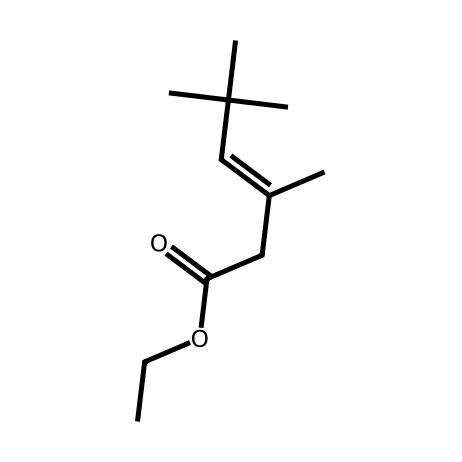 CCOC(=O)CC(C)=CC(C)(C)C